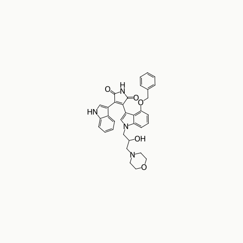 O=C1NC(=O)C(c2cn(CC(O)CN3CCOCC3)c3cccc(OCc4ccccc4)c23)=C1c1c[nH]c2ccccc12